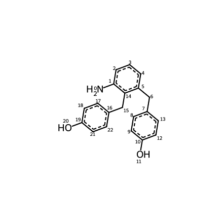 Nc1cccc(Cc2ccc(O)cc2)c1Cc1ccc(O)cc1